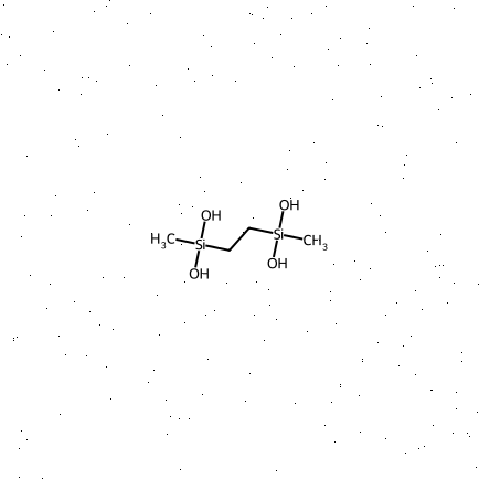 C[Si](O)(O)CC[Si](C)(O)O